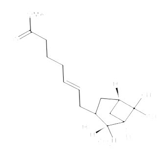 COC(=O)CCCC=CC[C@H]1C[C@H]2C[C@H]([C@@H]1C(=O)O)C2(C)C